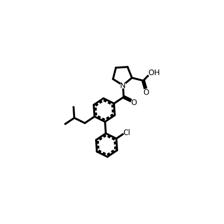 CC(C)Cc1ccc(C(=O)N2CCCC2C(=O)O)cc1-c1ccccc1Cl